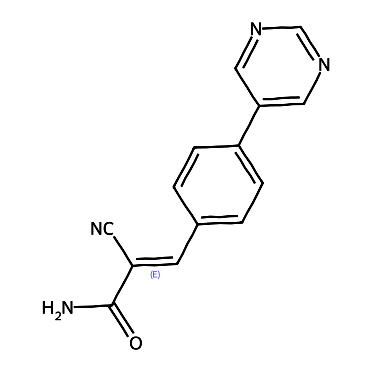 N#C/C(=C\c1ccc(-c2cncnc2)cc1)C(N)=O